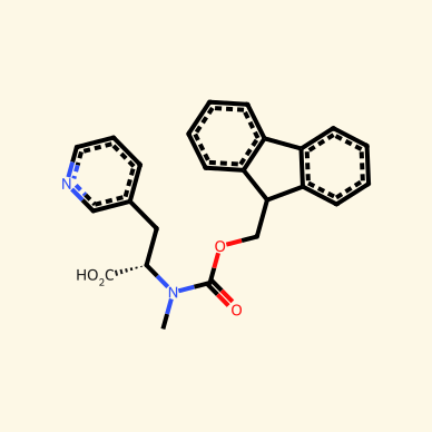 CN(C(=O)OCC1c2ccccc2-c2ccccc21)[C@@H](Cc1cccnc1)C(=O)O